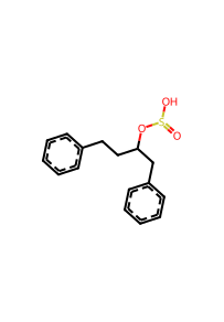 O=S(O)OC(CCc1ccccc1)Cc1ccccc1